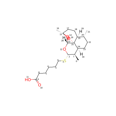 C[C@H]1[C@H](SCCCCCC(=O)O)O[C@@H]2O[C@]3(C)CC[C@H]4[C@H](C)CC[C@@H]1[C@@]24OO3